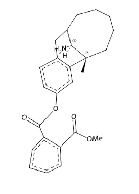 COC(=O)c1ccccc1C(=O)Oc1ccc2c(c1)[C@@]1(C)CCCCCC(C2)[C@@H]1N